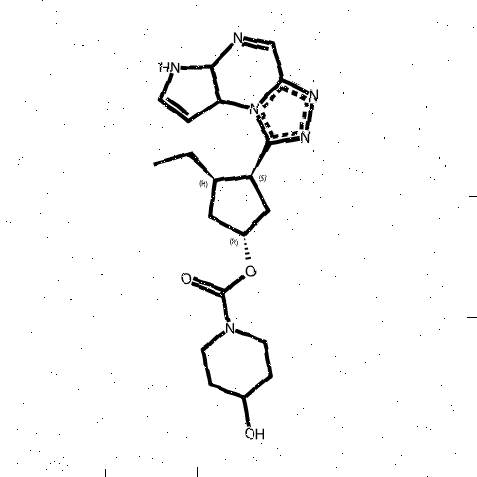 CC[C@@H]1C[C@@H](OC(=O)N2CCC(O)CC2)C[C@@H]1c1nnc2n1C1C=CNC1N=C2